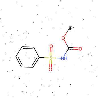 CC(C)OC(=O)NS(=O)(=O)c1ccccc1